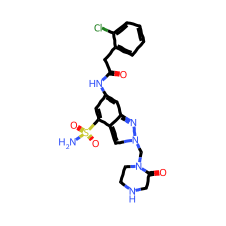 NS(=O)(=O)c1cc(NC(=O)Cc2ccccc2Cl)cc2nn(CN3CCNCC3=O)cc12